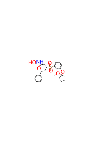 COC1(Oc2cccc(S(=O)(=O)C(CCc3ccccc3)CC(=O)NO)c2)CCCC1